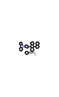 c1ccc([SiH2]c2ccc3c(-c4cccc5ccccc45)c4ccccc4c(-c4ccc(-n5c6ccccc6c6ccccc65)cc4)c3c2)cc1